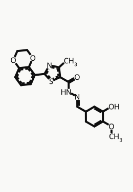 COC1=CCC(/C=N/NC(=O)c2sc(-c3cccc4c3OCCO4)nc2C)C=C1O